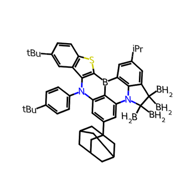 BC1(B)c2cc(C(C)C)cc3c2N(c2cc(C45CC6CC(CC(C6)C4)C5)cc4c2B3c2sc3ccc(C(C)(C)C)cc3c2N4c2ccc(C(C)(C)C)cc2)C1(B)B